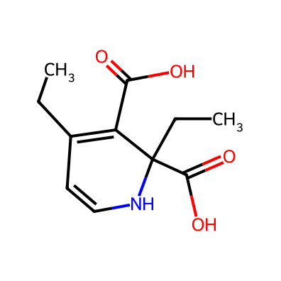 CCC1=C(C(=O)O)C(CC)(C(=O)O)NC=C1